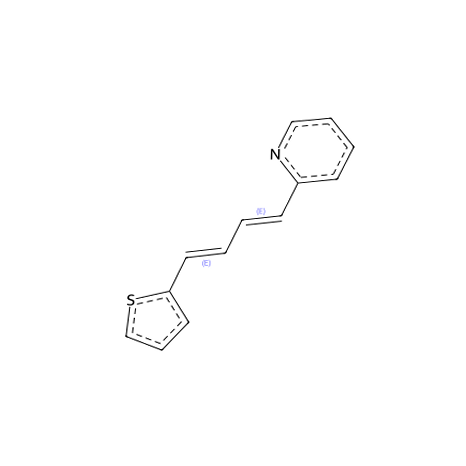 C(/C=C/c1cccs1)=C\c1ccccn1